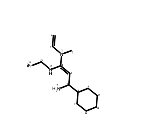 C=CN(C)/C(=C/C(N)C1CCCCC1)NCC(C)C